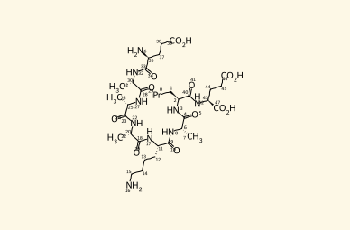 CC(C)C[C@H](NC(=O)[C@H](C)NC(=O)[C@H](CCCCN)NC(=O)[C@H](C)NC(=O)[C@H](C)NC(=O)[C@H](C)NC(=O)[C@@H](N)CCC(=O)O)C(=O)N[C@@H](CCC(=O)O)C(=O)O